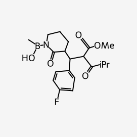 COC(=O)C(C(=O)C(C)C)C(c1ccc(F)cc1)C1CCCN(B(C)O)C1=O